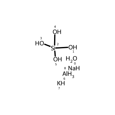 O.O[Si](O)(O)O.[AlH3].[KH].[NaH]